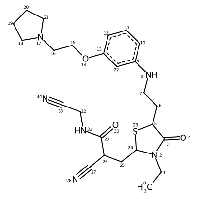 CCN1C(=O)C(CCNc2cccc(OCCN3CCCC3)c2)SC1CC(C#N)C(=O)NCC#N